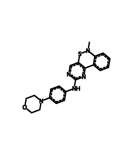 CN1Sc2cnc(Nc3ccc(N4CCOCC4)cc3)nc2-c2ccccc21